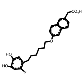 O=C(O)Cc1ccc2cc(OCCCCCCc3cc(O)c(O)cc3F)ccc2c1